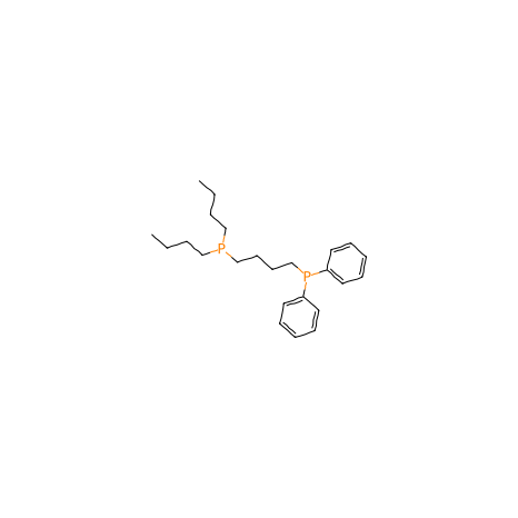 CCCCP(CCCC)CCCCP(c1ccccc1)c1ccccc1